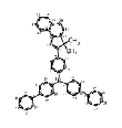 CC1(C)C(c2ccc(N(c3ccc(-c4ccccc4)cc3)c3ccc(-c4ccccc4)cc3)cc2)=Cc2c1ccc1ccccc21